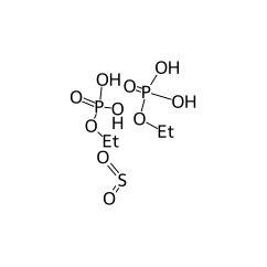 CCOP(=O)(O)O.CCOP(=O)(O)O.O=S=O